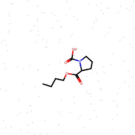 CCCCOC(=O)C1CCCN1C(=O)O